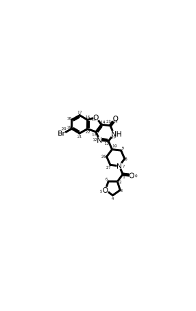 O=C(C1CCOC1)N1CCC(c2nc3c(oc4ccc(Br)cc43)c(=O)[nH]2)CC1